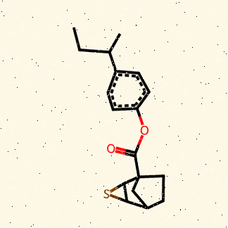 CCC(C)c1ccc(OC(=O)C23CCC(C2)C2SC23)cc1